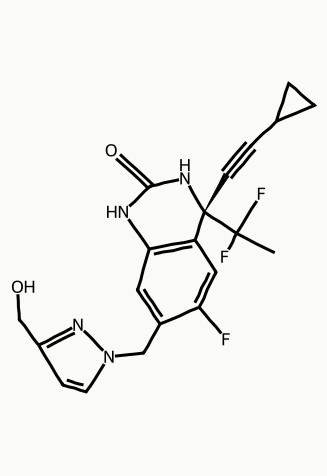 CC(F)(F)[C@@]1(C#CC2CC2)NC(=O)Nc2cc(Cn3ccc(CO)n3)c(F)cc21